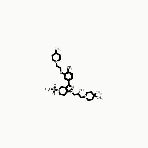 CC1CCN(CCSc2cc(-c3nn(C[C@@H](O)CN4CCC(C)(C)CC4)c4c3CN(S(C)(=O)=O)CC4)ccc2C(F)(F)F)CC1